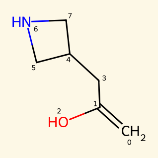 C=C(O)CC1CNC1